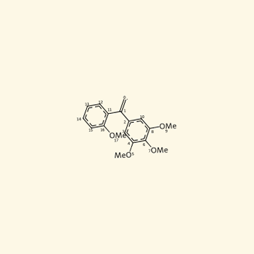 [CH]=C(c1cc(OC)c(OC)c(OC)c1)c1ccccc1OC